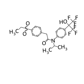 CCS(=O)(=O)c1ccc(CC(=O)N(c2ccc(C(O)(C(F)(F)F)C(F)(F)F)cc2)C(C)C)cc1